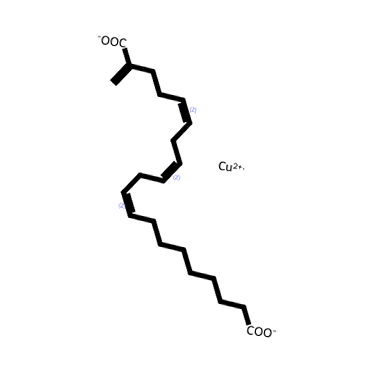 C=C(CC/C=C\C/C=C\C/C=C\CCCCCCCC(=O)[O-])C(=O)[O-].[Cu+2]